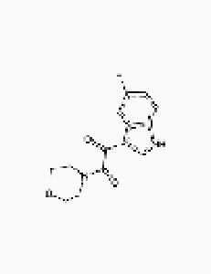 O=C(C(=O)N1CCOCC1)c1c[nH]c2ccc(F)cc12